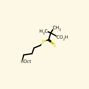 CCCCCCCCCCCCSC(=S)C(C)(C)C(=O)O